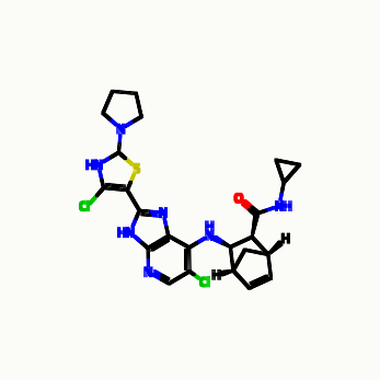 O=C(NC1CC1)[C@@H]1[C@H](Nc2c(Cl)cnc3[nH]c(C4=C(Cl)NC(N5CCCC5)S4)nc23)[C@H]2C=C[C@@H]1C2